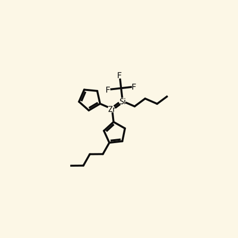 CCCCC1=CC[C](/[Zr]([C]2=CC=CC2)=[Si](\CCCC)C(F)(F)F)=C1